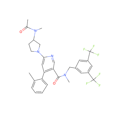 CC(=O)N(C)C1CCN(c2cc(-c3ccccc3C)c(C(=O)N(C)Cc3cc(C(F)(F)F)cc(C(F)(F)F)c3)cn2)C1